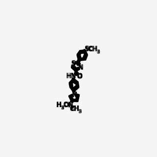 CSc1ccc(-c2nc(C(=O)Nc3ccc(N4CCC(N(C)C)C4)cc3)cs2)cc1